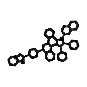 c1ccc(-c2c(-c3ccccc3)n(-c3ccc4ccccc4c3)c3c4ccccc4c4cc(-c5ccc(-c6cn7ccccc7n6)cc5)c5ccccc5c4c23)cc1